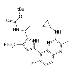 CCOC(=O)c1cc(-c2c(F)ccc3nc(C)c(NC4CC4)nc23)[nH]c1C(C)NC(=O)OC(C)(C)C